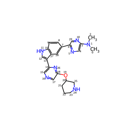 CN(C)c1cnc(-c2ccc3[nH]cc(-c4cncc(OC5CCCNC5)n4)c3c2)cn1